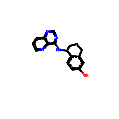 Oc1ccc2c(c1)CCCC2Nc1ncnc2cccnc12